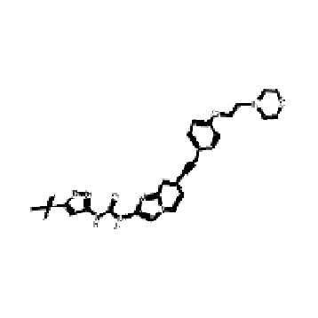 CC(C)(C)c1cc(NC(=O)Nc2cn3ccc(C#Cc4ccc(OCCN5CCOCC5)cc4)cc3n2)no1